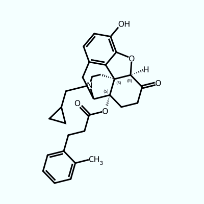 Cc1ccccc1CCC(=O)O[C@@]12CCC(=O)[C@@H]3Oc4c(O)ccc5c4[C@@]31CCN(CC1CC1)C2C5